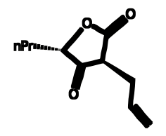 C=CC[C@@H]1C(=O)O[C@@H](CCC)C1=O